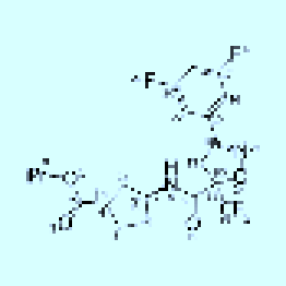 CC(C)OC(=O)[C@@H]1CC[C@H](NC(=O)[C@@]2(C(F)(F)F)CC(c3cc(F)cc(F)c3)=NO2)C1